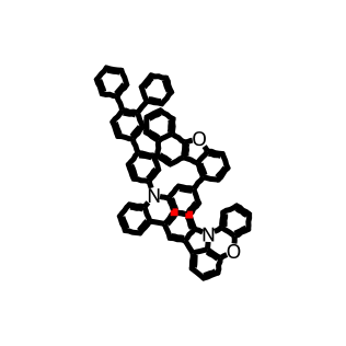 c1ccc(-c2ccc(-c3ccc(N(c4cccc(-c5cccc6oc7c8ccccc8ccc7c56)c4)c4ccccc4-c4ccc5c(c4)c4cccc6c4n5-c4ccccc4O6)cc3)cc2-c2ccccc2)cc1